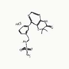 CC1(C)Oc2c(ncnc2-c2cccc(CNS(N)(=O)=O)c2)NC1=O.Cl